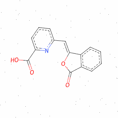 O=C(O)c1cccc(C=C2OC(=O)c3ccccc32)n1